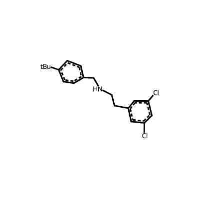 CC(C)(C)c1ccc(CNCCc2cc(Cl)cc(Cl)c2)cc1